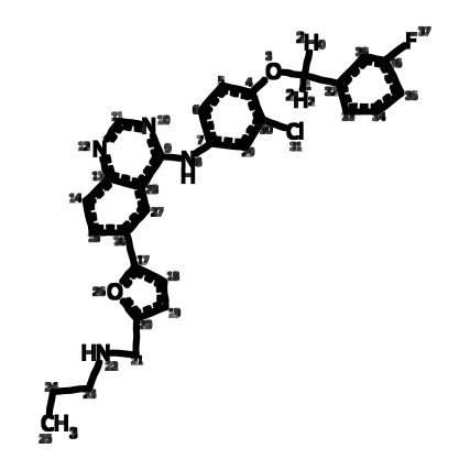 [2H]C([2H])(Oc1ccc(Nc2ncnc3ccc(-c4ccc(CNCCC)o4)cc23)cc1Cl)c1cccc(F)c1